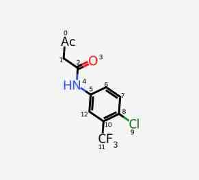 CC(=O)CC(=O)Nc1ccc(Cl)c(C(F)(F)F)c1